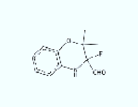 CC1(C)Oc2ccccc2NC1(F)C=O